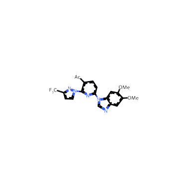 COc1cc2ncn(-c3ccc(C(C)=O)c(-n4ccc(C(F)(F)F)n4)n3)c2cc1OC